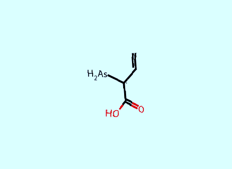 C=C[C]([AsH2])C(=O)O